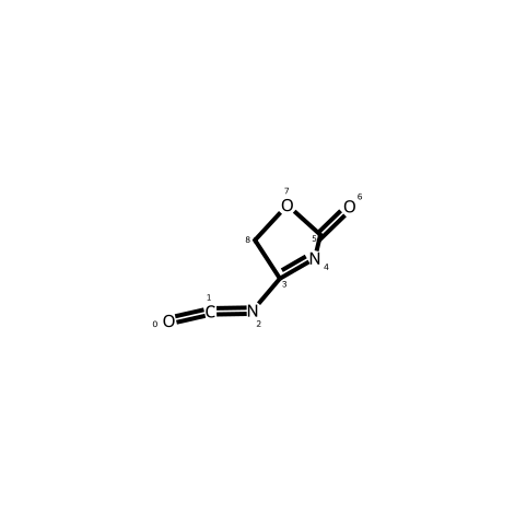 O=C=NC1=NC(=O)OC1